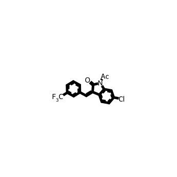 CC(=O)N1C(=O)C(=Cc2cccc(C(F)(F)F)c2)c2ccc(Cl)cc21